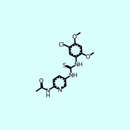 COc1cc(OC)c(NC(=S)Nc2ccc(NC(C)=O)nc2)cc1Cl